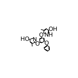 CC1=CC(O)CN=C1Oc1cc(Oc2ccccc2)cc(OC2NC=C(O)C=C2C)c1